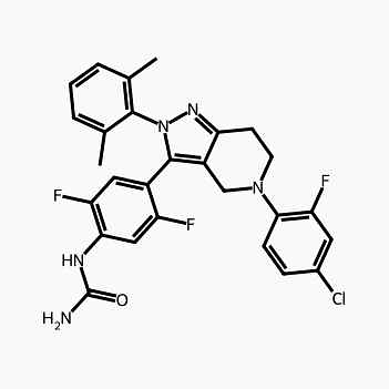 Cc1cccc(C)c1-n1nc2c(c1-c1cc(F)c(NC(N)=O)cc1F)CN(c1ccc(Cl)cc1F)CC2